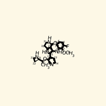 COc1c(F)cccc1Nc1c(-c2ccncc2O[C@@H](C)[C@H]2CCN2)[nH]c2c1C(=O)NCC2